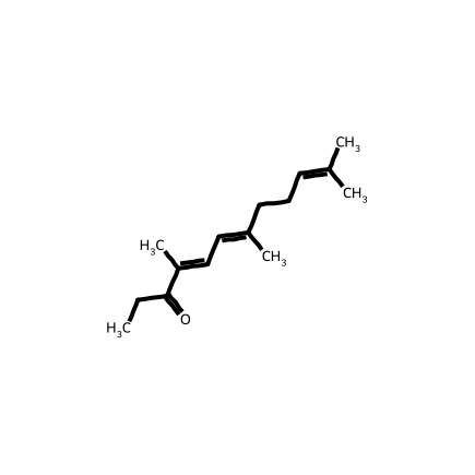 CCC(=O)/C(C)=C/C=C(\C)CCC=C(C)C